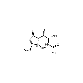 C=C1C=C(OC)[C@H](CCC)N1C(=O)[C@H](CCC)NC(=O)C(C)(C)C